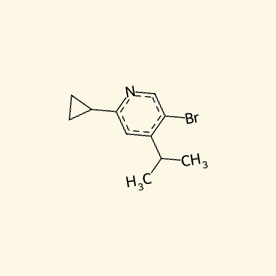 CC(C)c1cc(C2CC2)ncc1Br